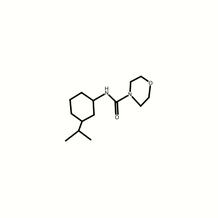 CC(C)C1CCCC(NC(=O)N2CCOCC2)C1